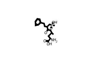 CC(CC(=O)C(CCc1ccccc1)CP(C)(=O)O)C[C@H](N)C(=O)O